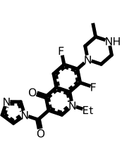 CCn1cc(C(=O)n2ccnc2)c(=O)c2cc(F)c(N3CCNC(C)C3)c(F)c21